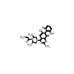 C=CC(=O)N1C(C)CN(c2nc(C)nc3c(F)c(-c4c(O)cccc4F)c(Cl)cc23)CC1C